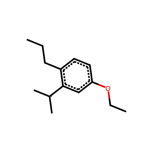 CCCc1ccc(OCC)cc1[C](C)C